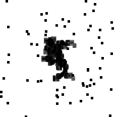 C=C[C@@H]1CC1(NC(=O)[C@@H]1C[C@@H](Oc2cc(-c3csc(NC(C)C)n3)nc3c(Cl)c(OCCN(C)CCOCC)ccc23)CN1C(=O)[C@@H](NC(=O)O[C@@H]1C[C@@H]2C[C@@H]2C1)C(C)(C)C)C(=O)O